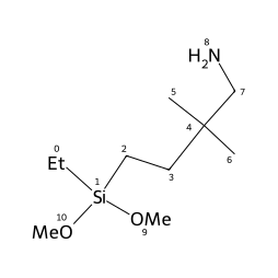 CC[Si](CCC(C)(C)CN)(OC)OC